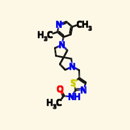 CC(=O)Nc1ncc(CN2CCC3(CCN(c4cc(C)cnc4C)C3)C2)s1